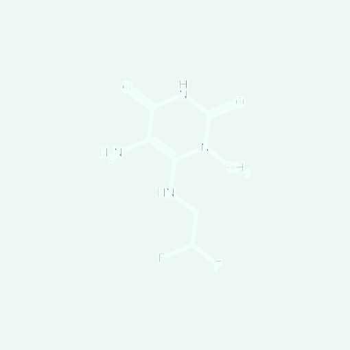 Cn1c(NCC(F)F)c(N)c(=O)[nH]c1=O